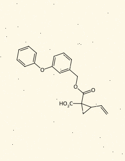 C=CC1CC1(C(=O)O)C(=O)OCc1cccc(Oc2ccccc2)c1